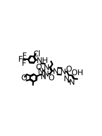 CCc1c(N2CCN(C(=O)c3ncnc(C)c3O)CC2)c(=O)n2nc(-c3cc(C)c4c(c3)COC4)nc2n1CC(=O)Nc1ccc(C(F)(F)F)cc1Cl